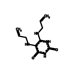 C=CCNc1[nH]c(=O)[nH]c(=O)c1NCC=C